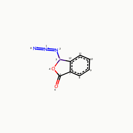 [N-]=[N+]=NI1OC(=O)c2ccccc21